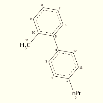 CCCc1[c]cc(-c2ccccc2C)cc1